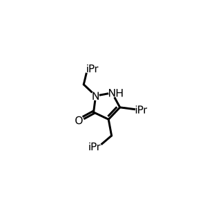 CC(C)Cc1c(C(C)C)[nH]n(CC(C)C)c1=O